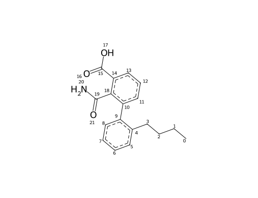 CCCCc1ccccc1-c1cccc(C(=O)O)c1C(N)=O